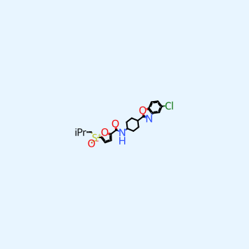 CC(C)C[S+]([O-])c1ccc(C(=O)NC2CCC(c3nc4cc(Cl)ccc4o3)CC2)o1